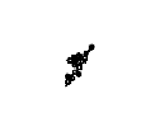 COCCCOc1ccnc(C[S+]([O-])c2nc3ccccc3n2S(=O)(=O)c2cc(C(=O)OCCS(=O)(=O)c3ccc(C)cc3)ccc2C)c1C